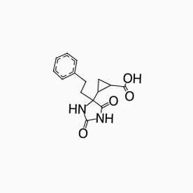 O=C1NC(=O)C(CCc2ccccc2)(C2CC2C(=O)O)N1